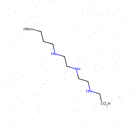 CCCCCCCCCCCCNCCNCCNCC(=O)O